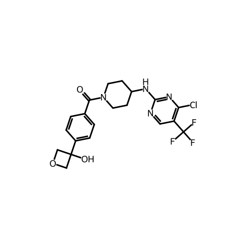 O=C(c1ccc(C2(O)COC2)cc1)N1CCC(Nc2ncc(C(F)(F)F)c(Cl)n2)CC1